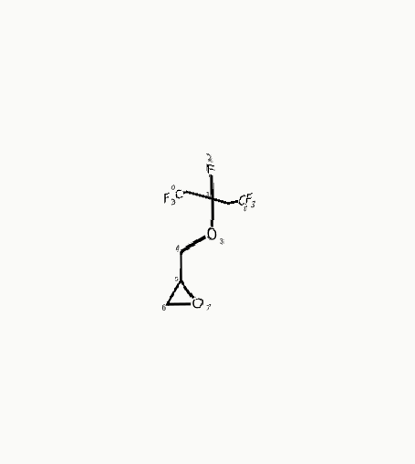 FC(F)(F)C(F)(OCC1CO1)C(F)(F)F